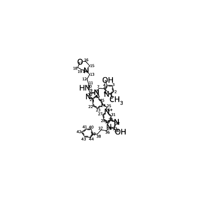 Cc1ccc(O)c(Cn2c(NCCCN3CCOCC3)nc3ccc(C[n+]4ccc5c(c4)nc(O)n5CCCc4ccccc4)cc32)n1